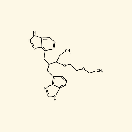 CCOCCOC(CC)N(Cc1cccc2[nH]nnc12)Cc1cccc2[nH]nnc12